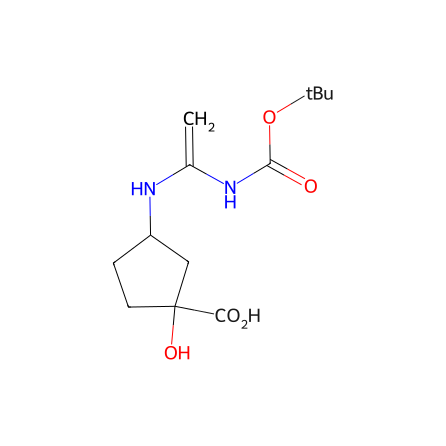 C=C(NC(=O)OC(C)(C)C)NC1CCC(O)(C(=O)O)C1